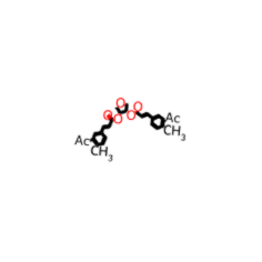 CC(=O)c1cc(C=CC(=O)OC2COCC2OC(=O)/C=C/c2ccc(C)c(C(C)=O)c2)ccc1C